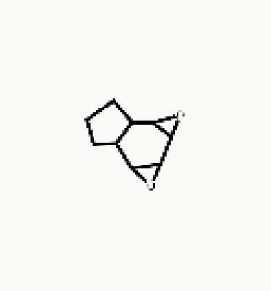 C1CC2C(C1)C1OC1C1OC21